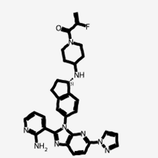 C=C(F)C(=O)N1CCC(N[C@H]2CCc3cc(-n4c(-c5cccnc5N)nc5ccc(-n6cccn6)nc54)ccc32)CC1